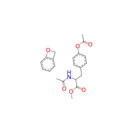 COC(=O)C(Cc1ccc(OC(C)=O)cc1)NC(C)=O.c1ccc2c(c1)CO2